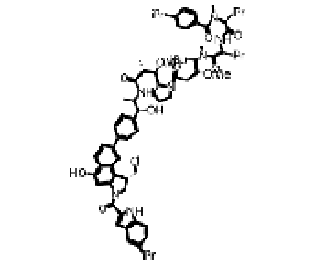 CC[C@H](C)[C@@H]([C@@H](CC(=O)N1CCC[C@H]1[C@H](OC)[C@@H](C)C(=O)N[C@H](C)[C@@H](O)c1ccc(-c2ccc3c(O)cc4c(c3c2)[C@H](CCl)CN4C(=O)c2cc3cc(C(C)C)ccc3[nH]2)cc1)OC)N(C)C(=O)[C@@H](NC(=O)[C@H](C(C)C)N(C)C(=O)c1ccc(C(C)C)cc1)C(C)C